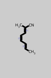 C/C=C/C=C\C=C(/C)C#N